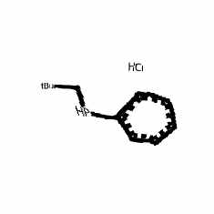 CC(C)(C)CPc1ccccc1.Cl